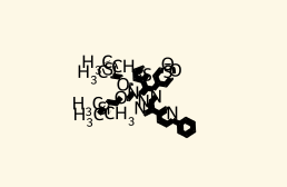 C[Si](C)(C)CCOCN(COCC[Si](C)(C)C)c1c(-c2cccs2)c(C2CCS(=O)(=O)CC2)nc2c(-c3ccc(-c4ccccc4)nc3)cnn12